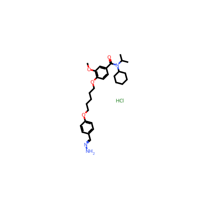 COc1cc(C(=O)N(C(C)C)C2CCCCC2)ccc1OCCCCCOc1ccc(C=NN)cc1.Cl